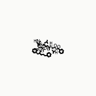 CC(C)C[C@H](NC(=O)C[C@H](O)[C@H](CC(C)C)NC(=O)[C@H](Cc1c[nH]cn1)NC(=O)C(CCCc1ccccc1)Cc1ccccc1)C(=O)NC(=O)c1ccccc1